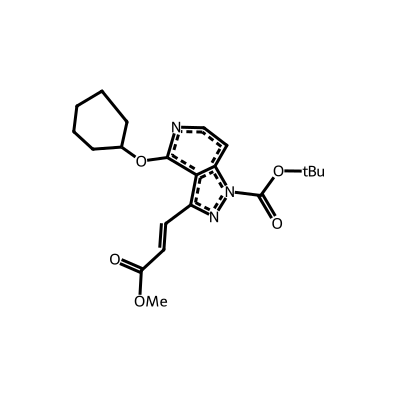 COC(=O)C=Cc1nn(C(=O)OC(C)(C)C)c2ccnc(OC3CCCCC3)c12